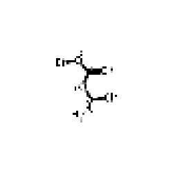 CCOC(=O)O[C@H](C)Cl